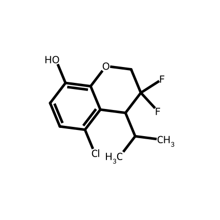 CC(C)C1c2c(Cl)ccc(O)c2OCC1(F)F